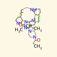 C=CC(=O)N1CCN(c2nc(=O)n3c4nc(c(F)cc24)-c2c(F)cccc2NCCCSc2ccnc(C(C)C)c2-3)C(C)C1